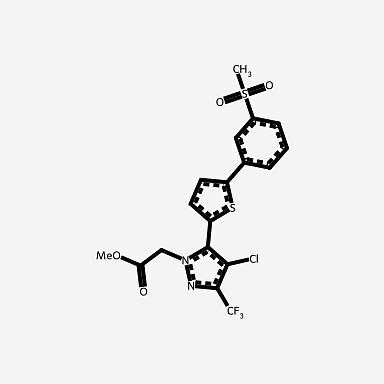 COC(=O)Cn1nc(C(F)(F)F)c(Cl)c1-c1ccc(-c2cccc(S(C)(=O)=O)c2)s1